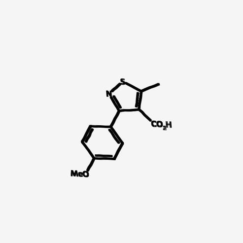 COc1ccc(-c2nsc(C)c2C(=O)O)cc1